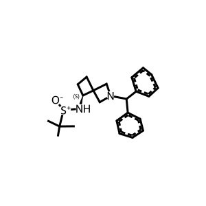 CC(C)(C)[S+]([O-])N[C@H]1CCC12CN(C(c1ccccc1)c1ccccc1)C2